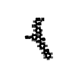 CC(C)(C)c1ccc(C(Cc2ccc(NC(=O)CS(=O)(=O)O)cc2)C(=O)Nc2ccc(-c3cc4ccccc4o3)cc2)cc1